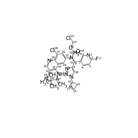 Cc1nc(F)ccc1[C@@H](c1cn(C23CC(C2)C3)nn1)N(C(=O)OCCl)c1cc(Cl)c2ncc(C#N)c(N[C@H](C)C(C)(C)C)c2c1